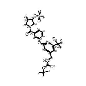 CC(C)(C)OC(=O)NCc1cc(Oc2cccc(C(=O)N3CC(F)C(OS(C)(=O)=O)C3)c2)nc(C(F)(F)F)c1